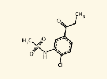 CCC(=O)c1ccc(Cl)c(NS(C)(=O)=O)c1